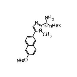 CCCCCC[C@H](N)c1ncc(-c2ccc3cc(OC)ccc3c2)n1C